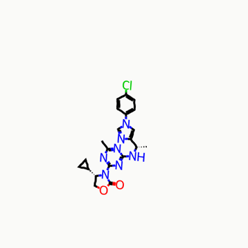 Cc1nc(N[C@@H](C)c2cn(-c3ccc(Cl)cc3)cn2)nc(N2C(=O)OC[C@@H]2C2CC2)n1